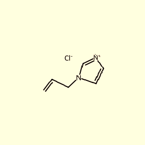 C=CCN1C=C[N+]=C1.[Cl-]